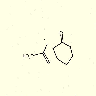 C=C(C)C(=O)O.O=C1CCCCC1